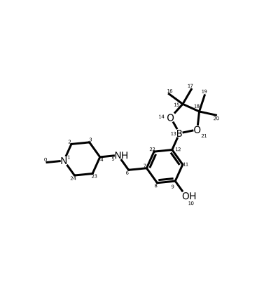 CN1CCC(NCc2cc(O)cc(B3OC(C)(C)C(C)(C)O3)c2)CC1